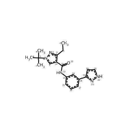 CCc1nn(C(C)(C)C)cc1C(=O)Nc1cccc(-c2cc[nH]n2)c1